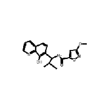 COc1cc(C(=O)NC(c2ccc3cccnc3c2O)C(C)C)on1